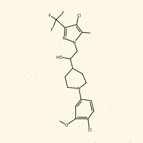 COc1cc(N2CCC(C(O)Cn3nc(C(F)(F)F)c(Cl)c3C)CC2)ccc1Cl